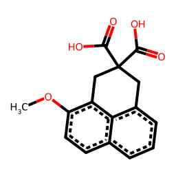 COc1ccc2cccc3c2c1CC(C(=O)O)(C(=O)O)C3